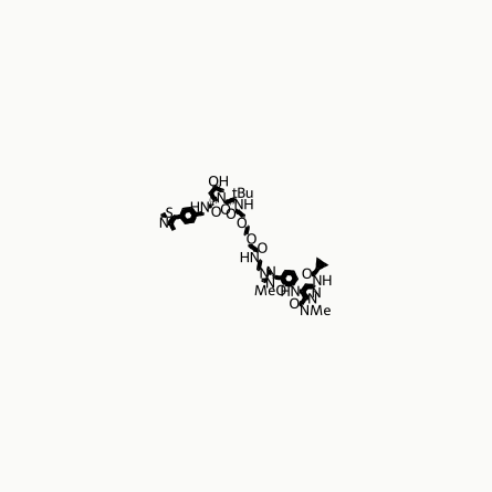 CNC(=O)c1nnc(NC(=O)C2CC2)cc1Nc1cccc(-c2ncn(CCNC(=O)COCCOCC(=O)N[C@H](C(=O)N3C[C@H](O)C[C@H]3C(=O)NCc3ccc(-c4scnc4C)cc3)C(C)(C)C)n2)c1OC